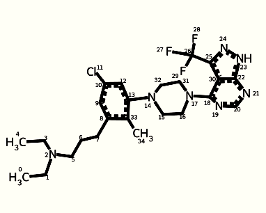 CCN(CC)CCCc1cc(Cl)cc(N2CCN(c3ncnc4[nH]nc(C(F)(F)F)c34)CC2)c1C